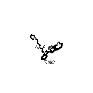 COc1ccc2c(c1)c(-c1cc3cccnc3[nH]1)cn2CC(=O)NCCCN1CCCC1